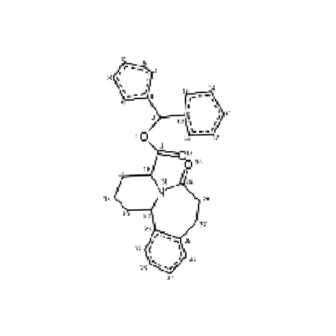 O=C(OC(c1ccccc1)c1ccccc1)C1CCCC2c3ccccc3CCC(=O)N12